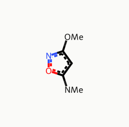 CNc1cc(OC)no1